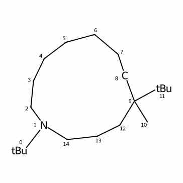 CC(C)(C)N1CCCCCCCC(C)(C(C)(C)C)CCC1